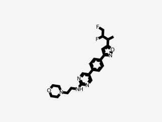 CC(c1cc(-c2c[c]c(-c3cnc(NCCN4CCOCC4)nc3)cc2)no1)C(F)CF